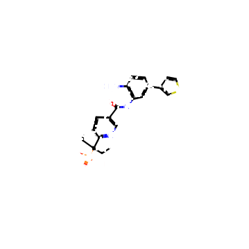 CCC(CC)(c1ccc(C(=O)Nc2cc(-c3ccsc3)ccc2N)cn1)P(=O)(O)O